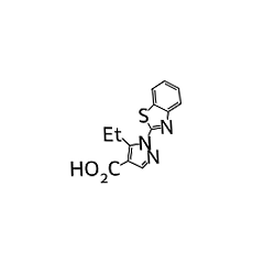 CCc1c(C(=O)O)cnn1-c1nc2ccccc2s1